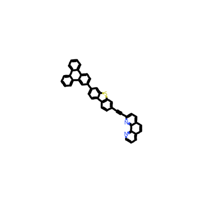 C(#Cc1ccc2ccc3cccnc3c2n1)c1ccc2c(c1)sc1cc(-c3ccc4c5ccccc5c5ccccc5c4c3)ccc12